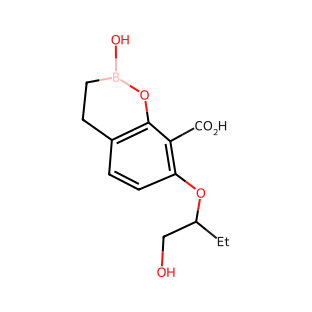 CCC(CO)Oc1ccc2c(c1C(=O)O)OB(O)CC2